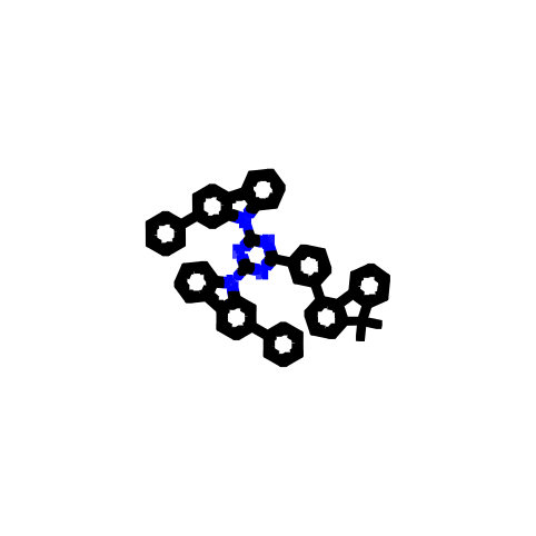 CC1(C)c2ccccc2-c2c(-c3cccc(-c4nc(-n5c6ccccc6c6ccc(-c7ccccc7)cc65)nc(-n5c6ccccc6c6ccc(-c7ccccc7)cc65)n4)c3)cccc21